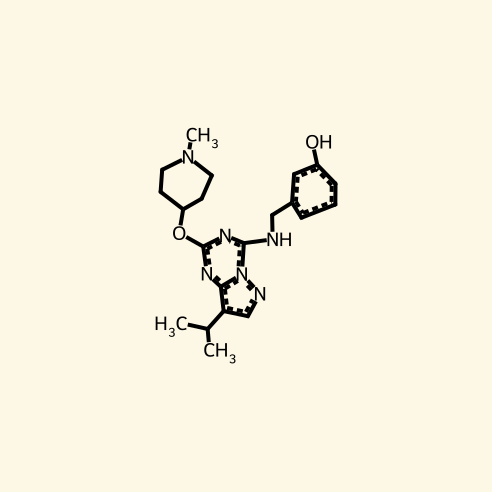 CC(C)c1cnn2c(NCc3cccc(O)c3)nc(OC3CCN(C)CC3)nc12